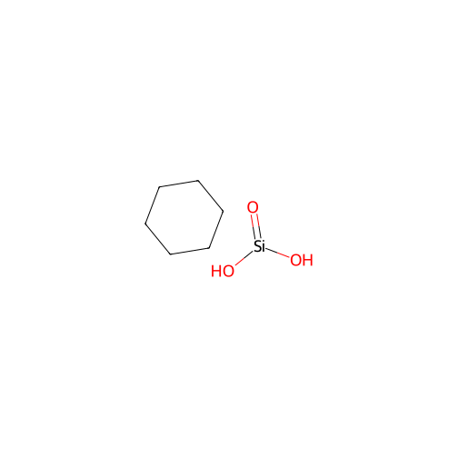 C1CCCCC1.O=[Si](O)O